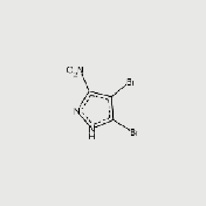 O=[N+]([O-])c1n[nH]c(Br)c1Br